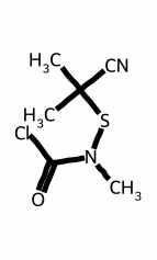 CN(SC(C)(C)C#N)C(=O)Cl